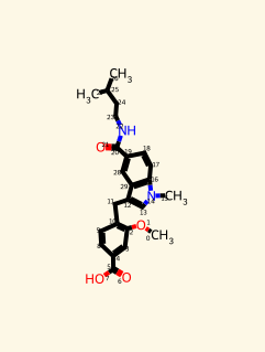 COc1cc(C(=O)O)ccc1Cc1cn(C)c2ccc(C(=O)NCCC(C)C)cc12